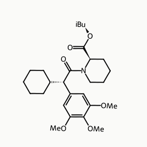 CC[C@H](C)OC(=O)[C@H]1CCCCN1C(=O)[C@H](c1cc(OC)c(OC)c(OC)c1)C1CCCCC1